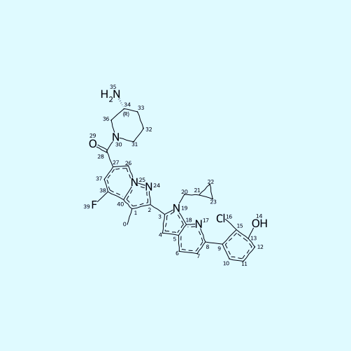 Cc1c(-c2cc3ccc(-c4cccc(O)c4Cl)nc3n2CC2CC2)nn2cc(C(=O)N3CCC[C@@H](N)C3)cc(F)c12